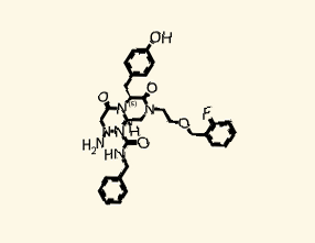 NN1CC(=O)N2[C@@H](Cc3ccc(O)cc3)C(=O)N(CCOCc3ccccc3F)C[C@@H]2N1C(=O)NCc1ccccc1